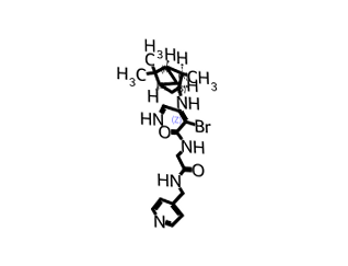 C[C@H]1[C@@H](N/C(C=N)=C(\Br)C(=O)NCC(=O)NCc2ccncc2)C[C@@H]2C[C@H]1C2(C)C